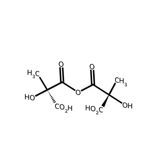 C[C@@](O)(C(=O)O)C(=O)OC(=O)[C@](C)(O)C(=O)O